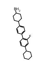 BC1CCC(c2ccc(-c3ccc(C4CCCCC4)cc3F)cc2)CC1